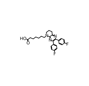 O=C(O)CCCCCCN1CCCc2nc(-c3ccc(F)cc3)c(-c3ccc(F)cc3)nc21